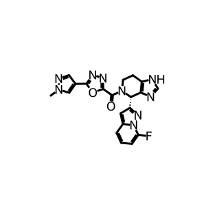 Cn1cc(-c2nnc(C(=O)N3CCc4[nH]cnc4[C@@H]3c3cc4cccc(F)n4n3)o2)cn1